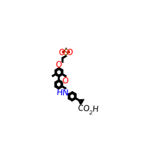 Cc1cc(OCCCS(C)(=O)=O)cc2c1-c1cccc(CNc3ccc(C4CC4C(=O)O)cc3)c1OC2